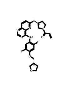 C=CC(=O)N1CC[C@H](Oc2ccc3ncnc(Nc4cc(F)c(OC[C@@H]5CCOC5)cc4F)c3n2)C1